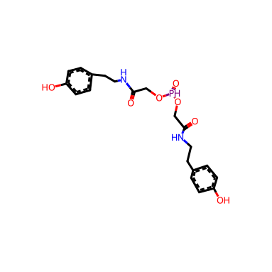 O=C(CO[PH](=O)OCC(=O)NCCc1ccc(O)cc1)NCCc1ccc(O)cc1